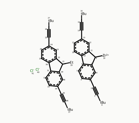 CC(C)(C)C#Cc1ccc2c(c1)[CH]([Zr+2])c1cc(C#CC(C)(C)C)ccc1-2.CCC1c2cc(C#CC(C)(C)C)ccc2-c2ccc(C#CC(C)(C)C)cc21.[Cl-].[Cl-]